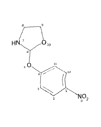 O=[N+]([O-])c1ccc(OC2NCCO2)cc1